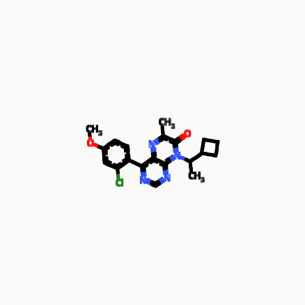 COc1ccc(-c2ncnc3c2nc(C)c(=O)n3C(C)C2CCC2)c(Cl)c1